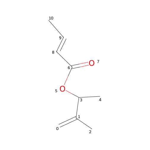 C=C(C)C(C)OC(=O)C=CC